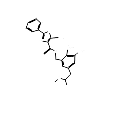 COc1cc(CC(OC(C)C)C(=O)O)cc(CNC(=O)c2nc(-c3ccccc3)sc2C)c1OC